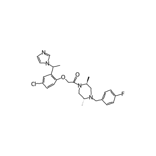 CC(c1cc(Cl)ccc1OCC(=O)N1C[C@@H](C)N(Cc2ccc(F)cc2)C[C@@H]1C)n1ccnc1